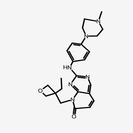 CCC1(Cn2c(=O)ccc3cnc(Nc4ccc(N5CCN(C)CC5)cc4)nc32)COC1